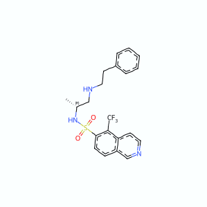 C[C@H](CNCCc1ccccc1)NS(=O)(=O)c1ccc2cnccc2c1C(F)(F)F